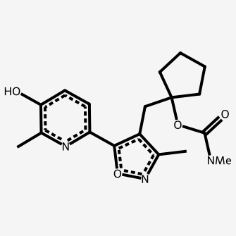 CNC(=O)OC1(Cc2c(C)noc2-c2ccc(O)c(C)n2)CCCC1